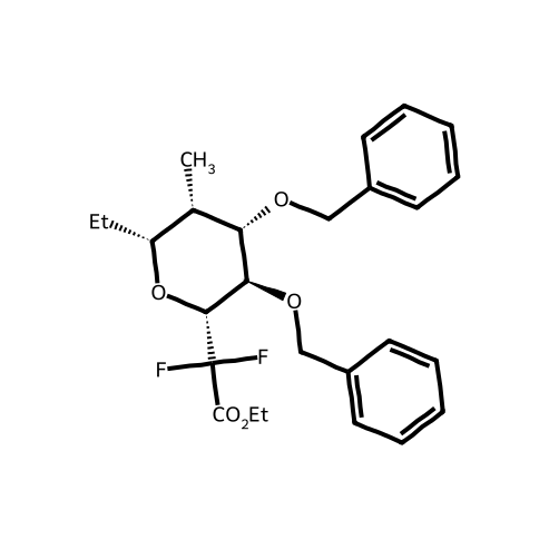 CCOC(=O)C(F)(F)[C@@H]1O[C@H](CC)[C@H](C)[C@H](OCc2ccccc2)[C@H]1OCc1ccccc1